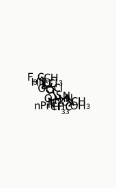 CCCN(C)C(=O)c1nc(-c2nnc(C(C)(C)O)o2)sc1-c1ccc(S(=O)(=O)NC(C)C(F)(F)F)c(Cl)c1Cl